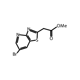 COC(=O)Cc1nc2ncc(Br)cc2s1